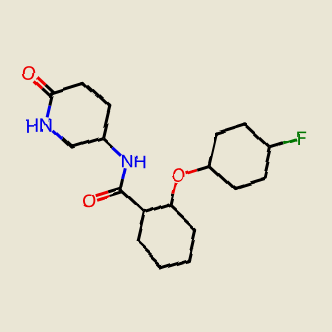 O=C1CCC(NC(=O)C2CCCCC2OC2CCC(F)CC2)CN1